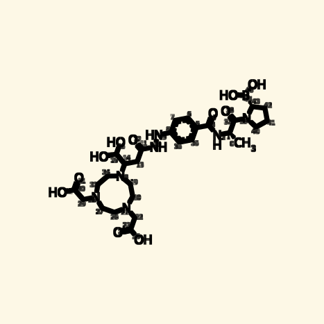 C[C@@H](NC(=O)c1ccc(NNC(=O)CC(C(O)O)N2CCN(CC(=O)O)CCN(CC(=O)O)CC2)cc1)C(=O)N1CCC[C@H]1B(O)O